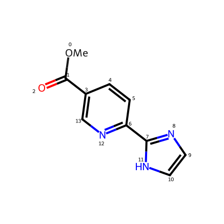 COC(=O)c1ccc(-c2ncc[nH]2)nc1